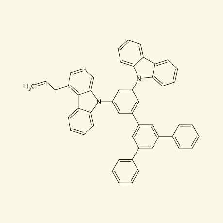 C=CCc1cccc2c1c1ccccc1n2-c1cc(-c2cc(-c3ccccc3)cc(-c3ccccc3)c2)cc(-n2c3ccccc3c3ccccc32)c1